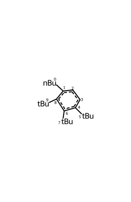 C[CH]CCc1ccc(C(C)(C)C)c(C(C)(C)C)c1C(C)(C)C